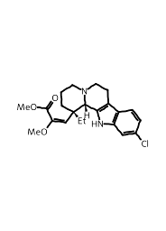 CC[C@@]1(C=C(OC)C(=O)OC)CCCN2CCc3c([nH]c4cc(Cl)ccc34)[C@@H]21